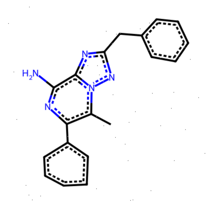 Cc1c(-c2ccccc2)nc(N)c2nc(Cc3ccccc3)nn12